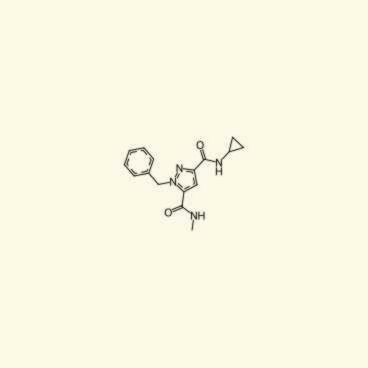 CNC(=O)c1cc(C(=O)NC2CC2)nn1Cc1ccccc1